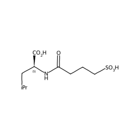 CC(C)C[C@H](NC(=O)CCCS(=O)(=O)O)C(=O)O